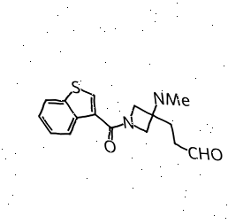 CNC1(CCC=O)CN(C(=O)c2csc3ccccc23)C1